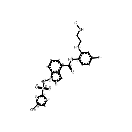 CCNCCNc1cc(F)ccc1NC(=O)c1cccc2c1cnn2NS(=O)(=O)c1ncc(Cl)s1